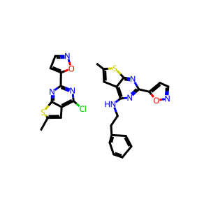 Cc1cc2c(Cl)nc(-c3ccno3)nc2s1.Cc1cc2c(NCCc3ccccc3)nc(-c3ccno3)nc2s1